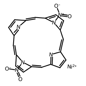 O=[N+]([O-])n1c2ccc1cc1nc(cc3ccc(cc4nc(c2)C=C4)n3[N+](=O)[O-])C=C1.[Ni+2]